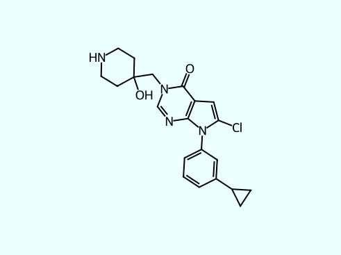 O=c1c2cc(Cl)n(-c3cccc(C4CC4)c3)c2ncn1CC1(O)CCNCC1